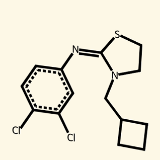 Clc1ccc(N=C2SCCN2CC2CCC2)cc1Cl